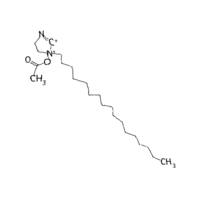 CCCCCCCCCCCCCCCCC[N+]1(OC(C)=O)[C+]=NCC1